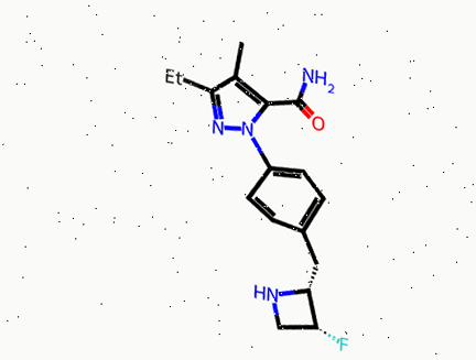 CCc1nn(-c2ccc(C[C@H]3NC[C@H]3F)cc2)c(C(N)=O)c1C